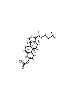 CC(C)CCC[C@@H](C)C1CC[C@H]2[C@]3(C)CC=C4CC(OC(=O)Cl)CC[C@]4(C)[C@H]3CC[C@]12C